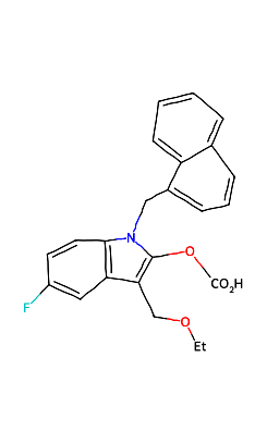 CCOCc1c(OC(=O)O)n(Cc2cccc3ccccc23)c2ccc(F)cc12